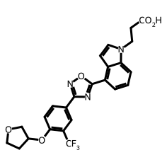 O=C(O)CCn1ccc2c(-c3nc(-c4ccc(OC5CCOC5)c(C(F)(F)F)c4)no3)cccc21